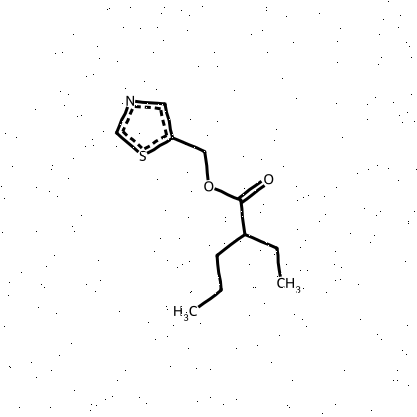 CCCC(CC)C(=O)OCc1cncs1